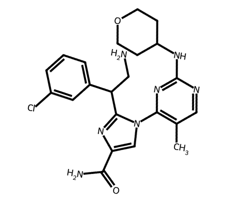 Cc1cnc(NC2CCOCC2)nc1-n1cc(C(N)=O)nc1C(CN)c1cccc(Cl)c1